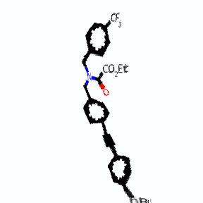 CCCCc1ccc(C#Cc2ccc(CN(Cc3ccc(C(F)(F)F)cc3)C(=O)C(=O)OCC)cc2)cc1